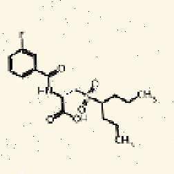 CCCC(CCC)S(=O)(=O)C[C@@H](NC(=O)c1cccc(F)c1)C(=O)O